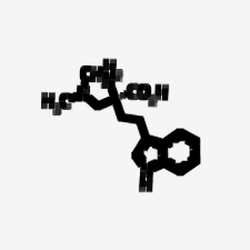 CN(C)C[C@@](N)(CCc1c[nH]c2ccccc12)C(=O)O